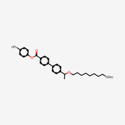 CCCCCCCCCCCCCCCCCCOC(C)c1ccc(-c2ccc(C(=O)Oc3ccc(CCC)cc3)cc2)cc1